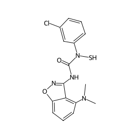 CN(C)c1cccc2onc(NC(=O)N(S)c3cccc(Cl)c3)c12